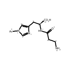 CC(=O)n1cnc(C[C@H](NC(=O)CCN)C(=O)O)c1